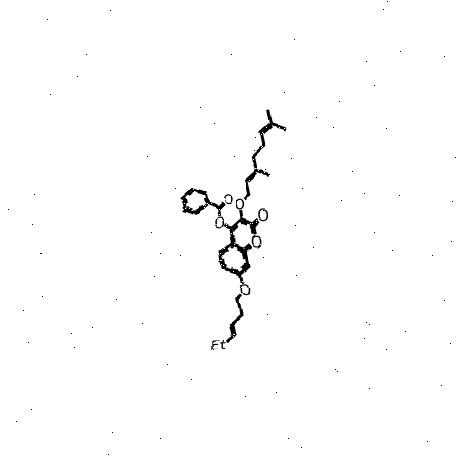 CCC=CCCOc1ccc2c(OC(=O)c3ccccc3)c(OC/C=C(\C)CCC=C(C)C)c(=O)oc2c1